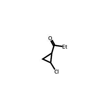 CCC(=O)C1CC1Cl